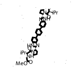 [CH2][C@H](C(=O)N1CCC[C@H]1c1nc2cc(-c3ccc(-c4ccc5[nH]c([C@@H]6CCCN6C(=O)[C@@H](NCC(=O)OC)C(C)C)nc5c4)cc3)ccc2[nH]1)C(C)C